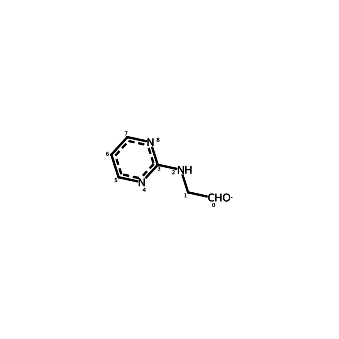 O=[C]CNc1ncccn1